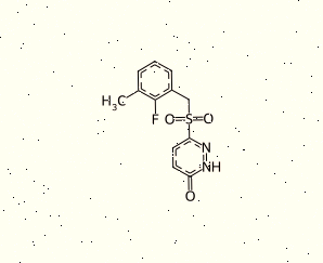 Cc1cccc(CS(=O)(=O)c2ccc(=O)[nH]n2)c1F